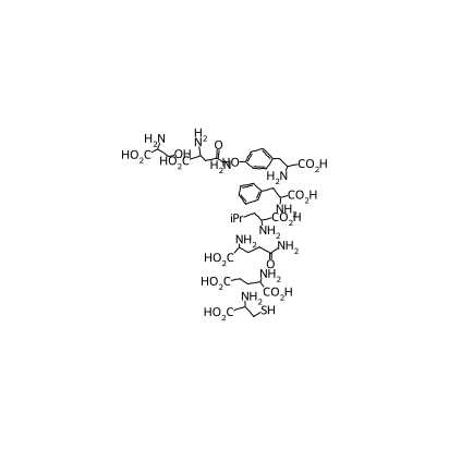 CC(C)CC(N)C(=O)O.NC(=O)CC(N)C(=O)O.NC(=O)CCC(N)C(=O)O.NC(CCC(=O)O)C(=O)O.NC(CO)C(=O)O.NC(CS)C(=O)O.NC(Cc1ccc(O)cc1)C(=O)O.NC(Cc1ccccc1)C(=O)O